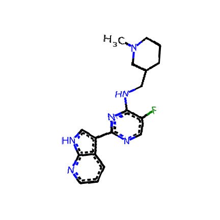 CN1CCCC(CNc2nc(-c3c[nH]c4ncccc34)ncc2F)C1